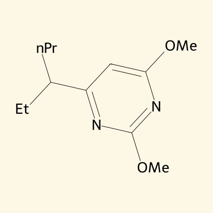 CCCC(CC)c1cc(OC)nc(OC)n1